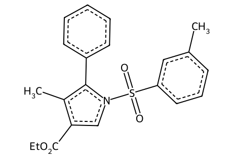 CCOC(=O)c1cn(S(=O)(=O)c2cccc(C)c2)c(-c2ccccc2)c1C